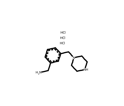 Cl.Cl.Cl.NCc1cccc(CN2CCNCC2)c1